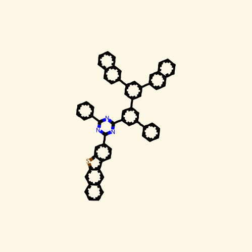 c1ccc(-c2cc(-c3cc(-c4ccc5ccccc5c4)cc(-c4ccc5ccccc5c4)c3)cc(-c3nc(-c4ccccc4)nc(-c4ccc5c(c4)sc4cc6ccccc6cc45)n3)c2)cc1